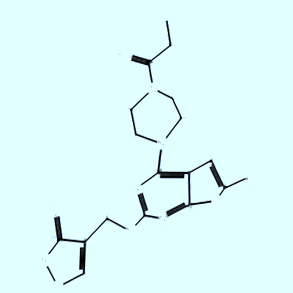 CCc1cc2c(N3CCN(C(=O)CC(F)(F)F)CC3)nc(NCc3co[nH]c3=O)nc2s1